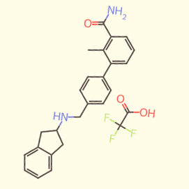 Cc1c(C(N)=O)cccc1-c1ccc(CNC2Cc3ccccc3C2)cc1.O=C(O)C(F)(F)F